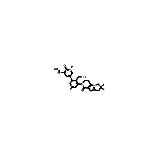 Cn1cc(-c2cc(F)cc(N3CCc4c(cc5n4CC(C)(C)C5)C3=O)c2CO)cc(NC=O)c1=O